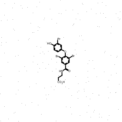 CC(C)c1cc(Oc2c(Br)cc(C(=O)NCCC(=O)O)cc2Br)ccc1O